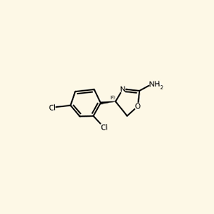 NC1=N[C@H](c2ccc(Cl)cc2Cl)CO1